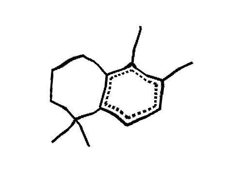 Cc1ccc2c(c1C)CCCC2(C)C